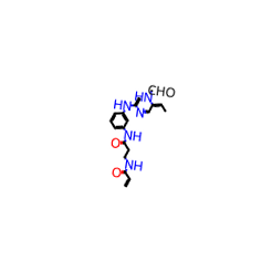 C=CC(=O)NCCC(=O)Nc1cccc(NC(=C)/N=C\C(=C/C)NC=O)c1